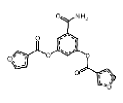 NC(=O)c1cc(OC(=O)c2ccoc2)cc(OC(=O)c2ccoc2)c1